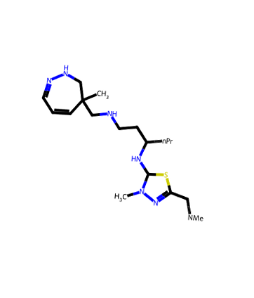 CCCC(CCNCC1(C)C=CC=NNC1)NC1SC(CNC)=NN1C